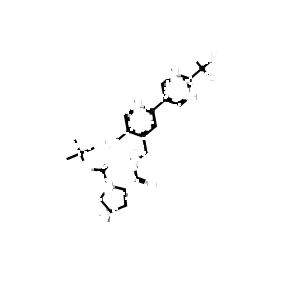 CC(C)(C)OC(=O)N1C[C@H](F)C[C@H]1C(=O)NCc1cc(-c2cnc(C(F)(F)F)nc2)ncc1Cl